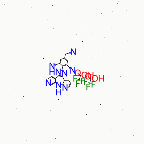 N#CCc1cc(C#N)c(-c2nc3c([nH]2)-c2ccncc2Nc2ncccc2-3)c(C#N)c1.O=C(O)C(F)(F)F.O=C(O)C(F)(F)F